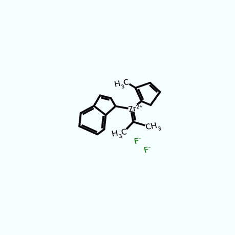 CC1=[C]([Zr+2](=[C](C)C)[CH]2C=Cc3ccccc32)CC=C1.[F-].[F-]